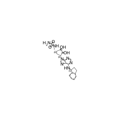 NS(=O)(=O)NC[C@H]1C[C@@H](n2cnc3c(N[C@H]4CCc5ccccc54)ncnc32)[C@H](O)[C@@H]1O